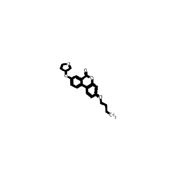 CCCCOc1ccc2c(c1)oc(=O)c1cc(OC3CCOC3)ccc12